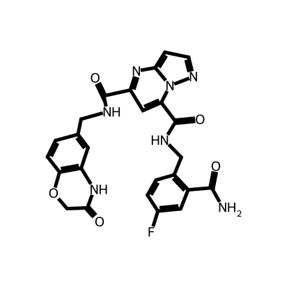 NC(=O)c1cc(F)ccc1CNC(=O)c1cc(C(=O)NCc2ccc3c(c2)NC(=O)CO3)nc2ccnn12